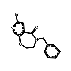 O=C1c2cc(Br)ncc2OCCN1Cc1ccccc1